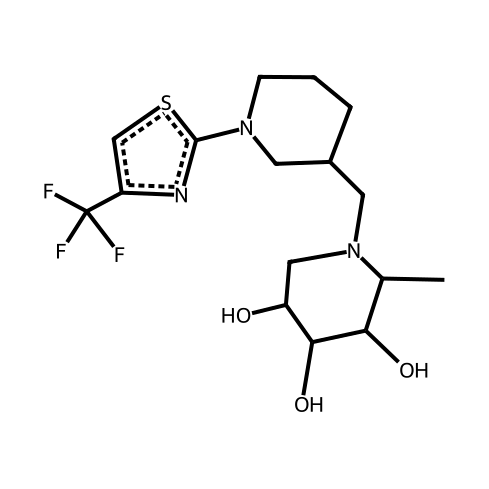 CC1C(O)C(O)C(O)CN1CC1CCCN(c2nc(C(F)(F)F)cs2)C1